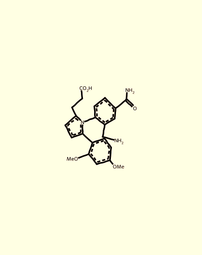 COc1ccc(-c2ccc(CCC(=O)O)n2-c2ccc(C(N)=O)cc2CN)c(OC)c1